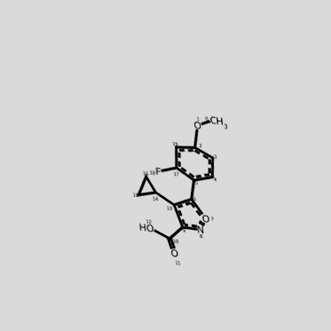 COc1ccc(-c2onc(C(=O)O)c2C2CC2)c(F)c1